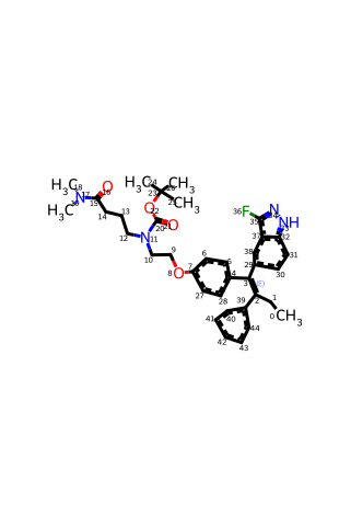 CC/C(=C(/c1ccc(OCCN(CCCC(=O)N(C)C)C(=O)OC(C)(C)C)cc1)c1ccc2[nH]nc(F)c2c1)c1ccccc1